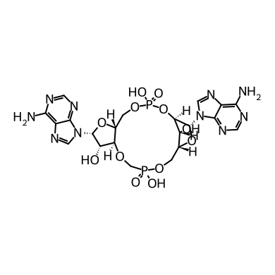 Nc1ncnc2c1ncn2[C@@H]1O[C@@H]2COP(=O)(O)O[C@@H]3[C@H](O)[C@@H](COP(=O)(O)CO[C@H]2[C@@H]1O)O[C@H]3n1cnc2c(N)ncnc21